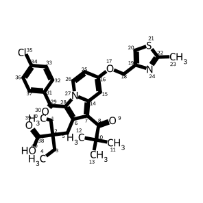 CCC(CC)(Cc1c(C(=O)C(C)(C)C)c2cc(OCc3csc(C)n3)ccn2c1C(=O)c1ccc(Cl)cc1)C(=O)O